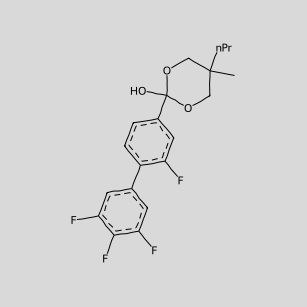 CCCC1(C)COC(O)(c2ccc(-c3cc(F)c(F)c(F)c3)c(F)c2)OC1